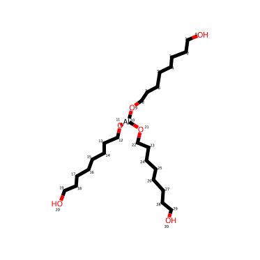 OCCCCCCCC[O][Al]([O]CCCCCCCCO)[O]CCCCCCCCO